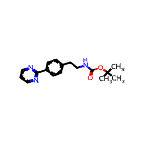 CC(C)(C)OC(=O)NCCc1ccc(-c2ncccn2)cc1